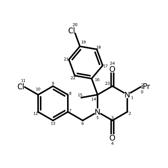 CC(C)N1CC(=O)N(Cc2ccc(Cl)cc2)C(C)(c2ccc(Cl)cc2)C1=O